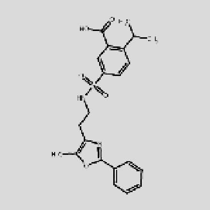 Cc1oc(-c2ccccc2)nc1CCNS(=O)(=O)c1ccc(C(C)C)c(C(=O)O)c1